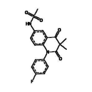 CC1(C)C(=O)c2cc(NS(C)(=O)=O)ccc2N(c2ccc(F)cc2)C1=O